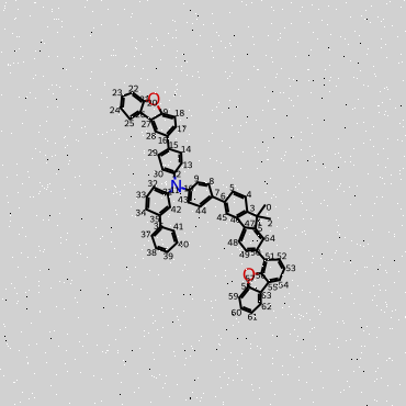 CC1(C)c2ccc(-c3ccc(N(c4ccc(-c5ccc6oc7ccccc7c6c5)cc4)c4cccc(-c5ccccc5)c4)cc3)cc2-c2ccc(-c3cccc4c3oc3ccccc34)cc21